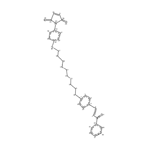 O=C(C=Cc1ccc(CCCCCCCCCCOc2ccc(N3C(=O)C=CC3=O)cc2)cc1)c1ccccc1